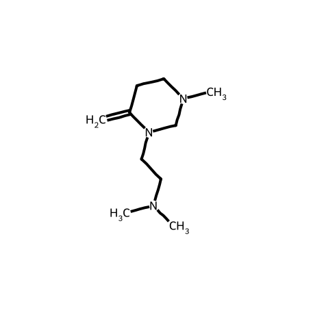 C=C1CCN(C)CN1CCN(C)C